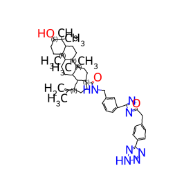 C=C(C)[C@@H]1CC[C@]2(C(=O)NCc3cccc(-c4noc(Cc5ccc(-c6nn[nH]n6)cc5)n4)c3)CC[C@]3(C)C(CCC4[C@@]5(C)CC[C@H](O)C(C)(C)C5CC[C@]43C)C12